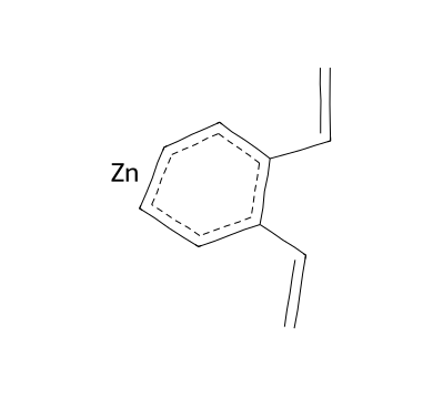 C=Cc1ccccc1C=C.[Zn]